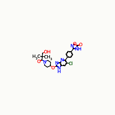 CC(C)(CO)C(=O)N1CCC(Oc2nc3nc(-c4ccc(-c5noc(=O)[nH]5)cc4)c(Cl)cc3[nH]2)CC1